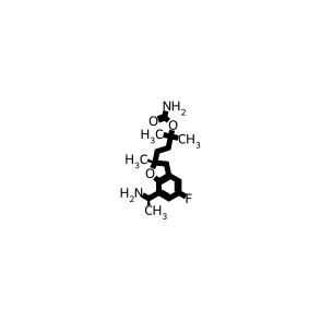 C[C@@H](N)c1cc(F)cc2c1O[C@](C)(CCC(C)(C)OC(N)=O)C2